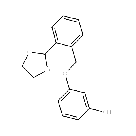 Cc1cccc(OCc2ccccc2C2OCCO2)c1